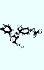 N#CCC1(n2cc(C(N)=O)c(Nc3ccnc(F)c3)n2)CCN(OC(=O)C(F)(F)F)CC1